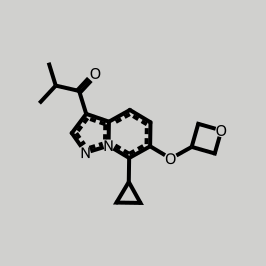 CC(C)C(=O)c1cnn2c(C3CC3)c(OC3COC3)ccc12